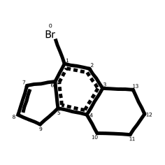 Brc1cc2c(c3c1C=CC3)CCCC2